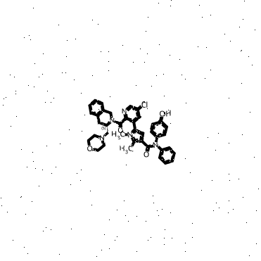 Cc1c(C(=O)N(c2ccccc2)c2ccc(O)cc2)cc(-c2cc(Cl)cnc2C(=O)N2Cc3ccccc3C[C@H]2CN2CCOCC2)n1C